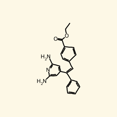 CCOC(=O)c1ccc(C=C(c2ccccc2)c2cc(N)nc(N)c2)cc1